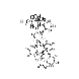 CC1(C)N=C(c2ccc(-c3c4ccccc4c(-c4cccc5ccccc45)c4ccccc34)cn2)N(c2ccccc2)C1(C)C